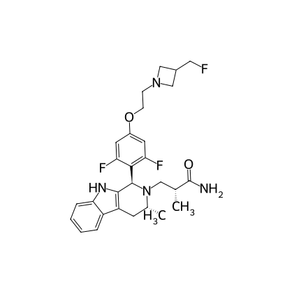 C[C@H](CN1[C@H](c2c(F)cc(OCCN3CC(CF)C3)cc2F)c2[nH]c3ccccc3c2C[C@H]1C)C(N)=O